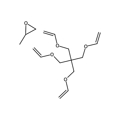 C=COCC(COC=C)(COC=C)COC=C.CC1CO1